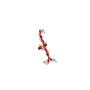 C=CC(=O)OCOc1ccc(OC(=O)C2CCC(C(=O)Oc3c4c(c(OC(=O)C5CCC(C(=O)Oc6ccc(OCC(COC(=O)C=C)OC(=O)C=C)cc6)CC5)c5ccccc35)SC(C3C(=O)c5ccccc5C3=O)S4)CC2)cc1